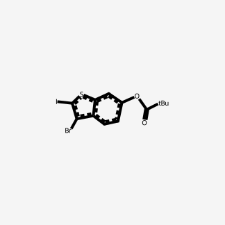 CC(C)(C)C(=O)Oc1ccc2c(Br)c(I)sc2c1